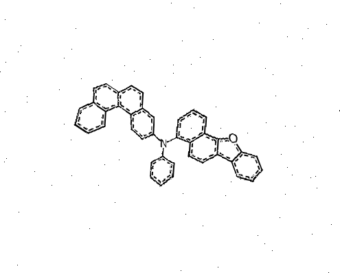 c1ccc(N(c2ccc3c(ccc4ccc5ccccc5c43)c2)c2cccc3c2ccc2c4ccccc4oc32)cc1